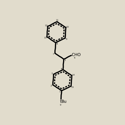 CC(C)(C)c1ccc(C(C=O)Cc2ccccc2)cc1